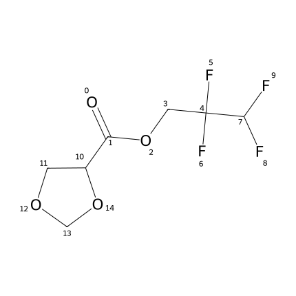 O=C(OCC(F)(F)C(F)F)C1COCO1